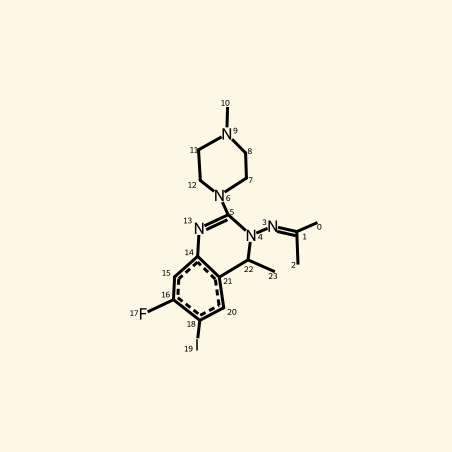 CC(C)=NN1C(N2CCN(C)CC2)=Nc2cc(F)c(I)cc2C1C